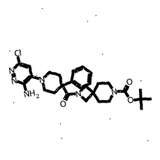 CC(C)(C)OC(=O)N1CCC2(CC1)CN(C(=O)C1(c3ccccc3)CCN(c3cc(Cl)nnc3N)CC1)C2